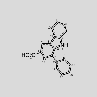 O=C(O)c1cc2c([nH]c3ccccc32)c(-c2ccccn2)n1